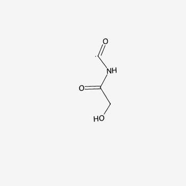 O=[C]NC(=O)CO